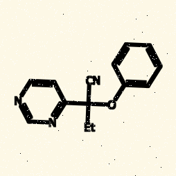 CCC(C#N)(Oc1ccccc1)c1ccncn1